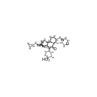 CC1(O)CCC(n2c(=O)c3cc(CN4CCOCC4)ccc3c3cnc(NCC4CC4)nc32)CC1